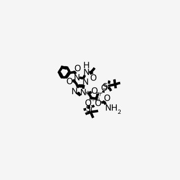 CC(=O)Nc1nc2c(ncn2[C@@H]2O[C@H](CO[Si](C)(C)C(C)(C)C)[C@@H](OC(N)=O)[C@H]2O[Si](C)(C)C(C)(C)C)c(=O)n1C(=O)c1ccccc1